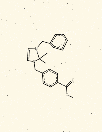 COC(=O)c1ccc(CN2C=CN(Cc3ccccc3)C2(C)C)cc1